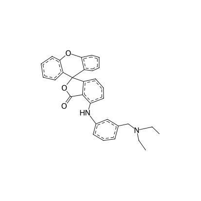 CCN(CC)Cc1cccc(Nc2cccc3c2C(=O)OC32c3ccccc3Oc3ccccc32)c1